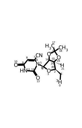 [3H]C[C@H]1O[C@@H](n2c(C#N)cc(=O)[nH]c2=O)C2OC(C)(C)O[C@H]21